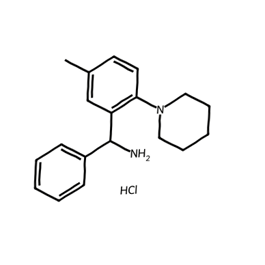 Cc1ccc(N2CCCCC2)c(C(N)c2ccccc2)c1.Cl